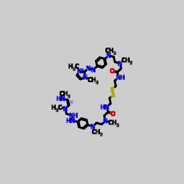 CN/C=C\N(C)CNNc1ccc(N(C)CCN(C)CC(=O)NCCSSCCNC(=O)CN(C)CCN(C)c2ccc(/N=N/c3n(C)cc[n+]3C)cc2)cc1